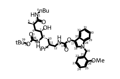 CCCCNC(=O)[C@H](C)C[C@H](O)[C@H](C[C@@H](CNC(=O)Oc1cn(Cc2ccccc2OC)c2ccccc12)C(C)C)NC(=O)OC(C)(C)C